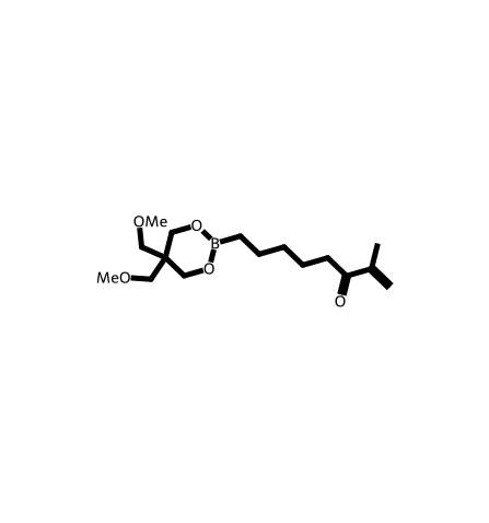 C=C(C)C(=O)CCCCCB1OCC(COC)(COC)CO1